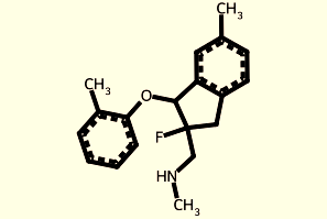 CNCC1(F)Cc2ccc(C)cc2C1Oc1ccccc1C